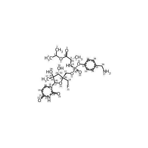 CC(C)OC(=O)[C@H](C)N[P@@](=O)(OC[C@@]1(CF)O[C@@H](n2ccc(=O)[nH]c2=O)[C@](C)(O)[C@@H]1O)Oc1ccc(CN)cc1